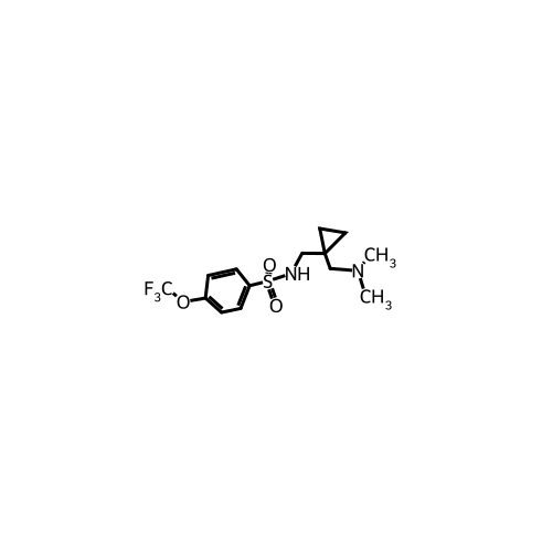 CN(C)CC1(CNS(=O)(=O)c2ccc(OC(F)(F)F)cc2)CC1